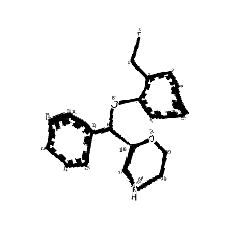 FCc1ccccc1OC(c1ccccc1)[C@@H]1CNCCO1